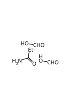 CCC(N)=O.O=CO.O=CO